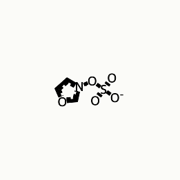 O=S(=O)([O-])O[n+]1ccoc1